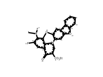 CCOC(=O)c1cn2c3c(c(N(C)F)c(F)cc3c1=O)Oc1cc3c(cc1-2)oc1ccccc13